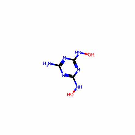 Nc1nc(NO)nc(NO)n1